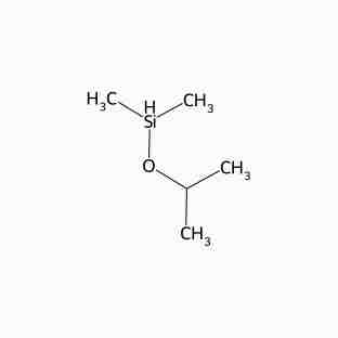 CC(C)O[SiH](C)C